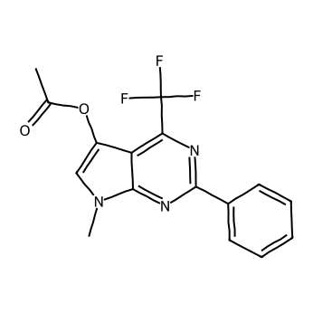 CC(=O)Oc1cn(C)c2nc(-c3ccccc3)nc(C(F)(F)F)c12